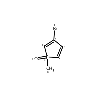 CP1(=O)C=CC(Br)=C1